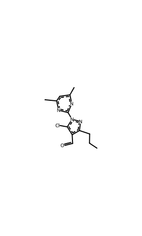 CCCc1nn(-c2nc(C)cc(C)n2)c(Cl)c1C=O